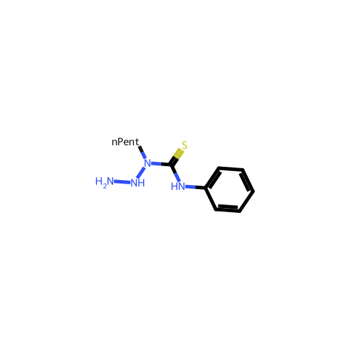 CCCCCN(NN)C(=S)Nc1ccccc1